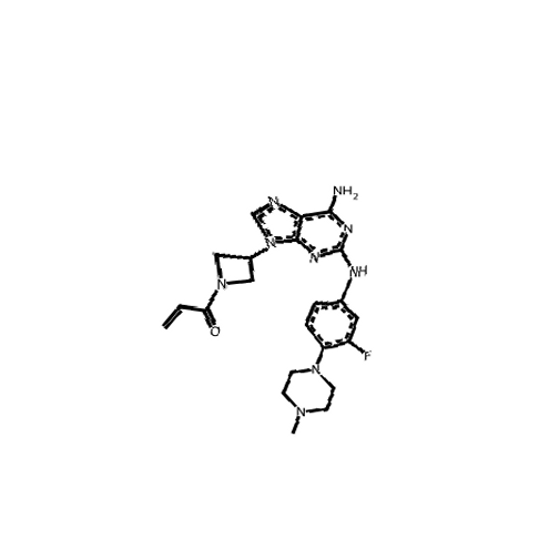 C=CC(=O)N1CC(n2cnc3c(N)nc(Nc4ccc(N5CCN(C)CC5)c(F)c4)nc32)C1